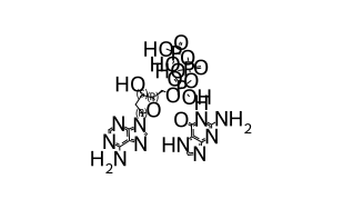 Nc1nc2nc[nH]c2c(=O)[nH]1.Nc1ncnc2c1ncn2[C@H]1C[C@H](O)[C@@H](COP(=O)(O)OP(=O)(O)OP(=O)(O)O)O1